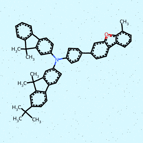 Cc1cccc2c1oc1cc(-c3ccc(N(c4ccc5c(c4)C(C)(C)c4ccccc4-5)c4ccc5c(c4)C(C)(C)c4cc(C(C)(C)C)ccc4-5)cc3)ccc12